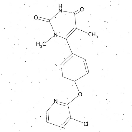 Cc1c(C2=CCC(Oc3ncccc3Cl)C=C2)n(C)c(=O)[nH]c1=O